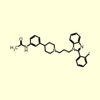 CC(=O)Nc1cccc(C2CCN(CCCn3c(-c4ccccc4I)nc4ccccc43)CC2)c1